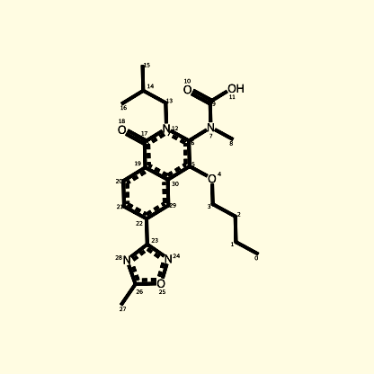 CCCCOc1c(N(C)C(=O)O)n(CC(C)C)c(=O)c2ccc(-c3noc(C)n3)cc12